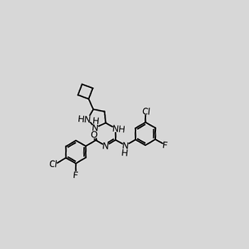 O=C(/N=C(/Nc1cc(F)cc(Cl)c1)NC1CC(C2CCC2)NN1)c1ccc(Cl)c(F)c1